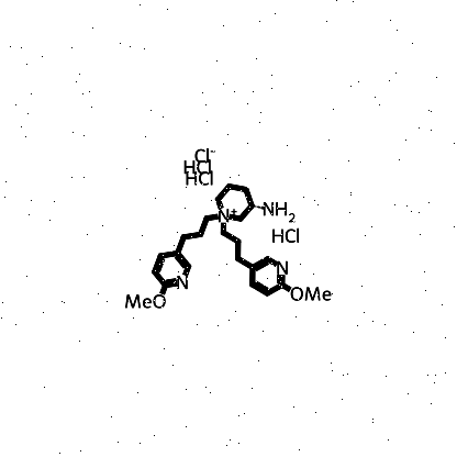 COc1ccc(CCC[N+]2(CCCc3ccc(OC)nc3)CCC[C@H](N)C2)cn1.Cl.Cl.Cl.[Cl-]